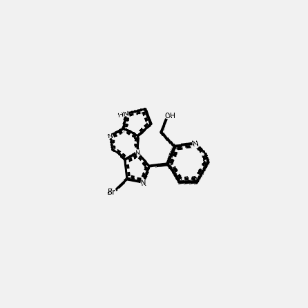 OCc1ncccc1-c1nc(Br)c2cnc3[nH]ccc3n12